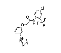 O=C(COc1cccc(-n2cnnn2)c1)Nc1ccc(Cl)cc1C(F)(F)F